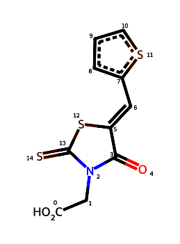 O=C(O)CN1C(=O)C(=Cc2cccs2)SC1=S